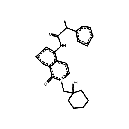 CC(C(=O)Nc1cccc2c(=O)n(CC3(O)CCCCC3)ccc12)c1ccccc1